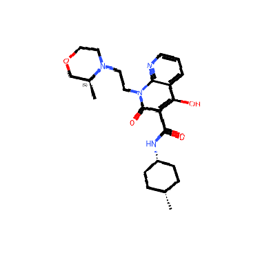 C[C@H]1COCCN1CCn1c(=O)c(C(=O)N[C@H]2CC[C@@H](C)CC2)c(O)c2cccnc21